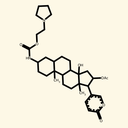 CC(=O)OC1CC2(O)C3CCC4CC(NC(=O)OCCN5CCCC5)CCC4(C)C3CCC2(C)C1c1ccc(=O)oc1